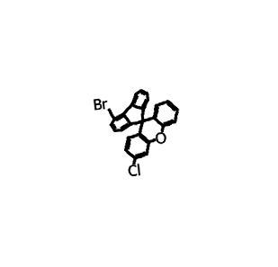 Clc1ccc2c(c1)Oc1ccccc1C21c2ccccc2-c2c(Br)cccc21